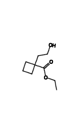 CCOC(=O)C1(CCO)CCC1